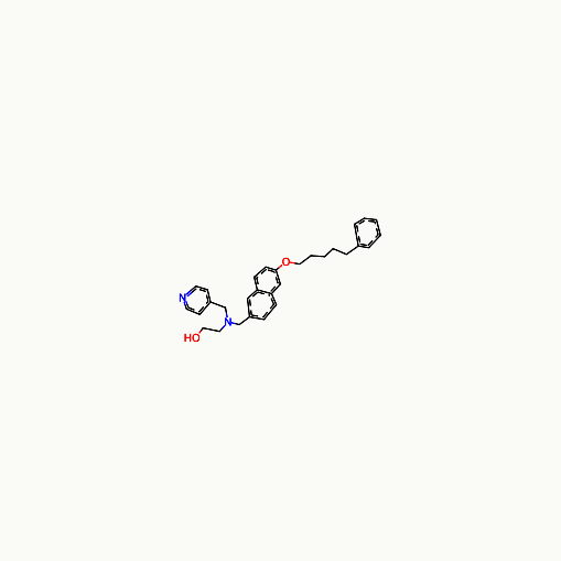 OCCN(Cc1ccncc1)Cc1ccc2cc(OCCCCCc3ccccc3)ccc2c1